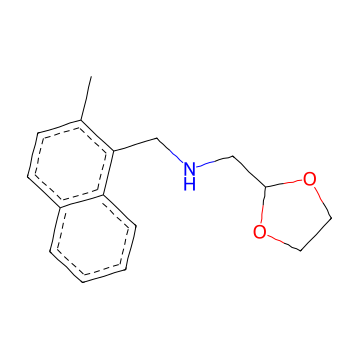 Cc1ccc2ccccc2c1CNCC1OCCO1